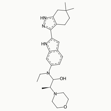 CCN(c1ccc2cc(-c3n[nH]c4c3CCC(C)(C)C4)[nH]c2c1)C(O)[C@H](C)N1CCOCC1